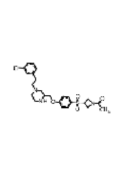 CC(=O)N1CC(S(=O)(=O)c2ccc(OCC3CN(CCc4cccc(Cl)c4)CCN3)cc2)C1